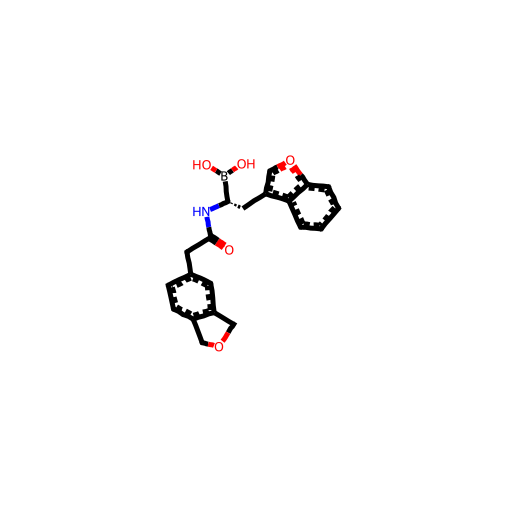 O=C(Cc1ccc2c(c1)COC2)N[C@@H](Cc1coc2ccccc12)B(O)O